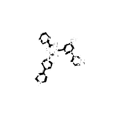 Brc1cc(-c2cccnc2)cc(-c2nc(-c3ccccc3)nc(-c3ccc(-c4ccccc4)cc3)n2)c1